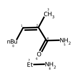 CCCCC=C(C)C(N)=O.CCN